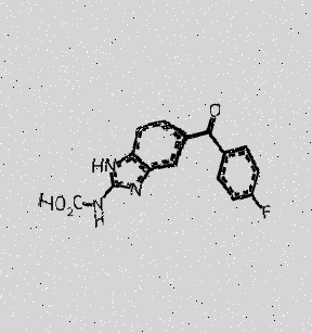 O=C(O)Nc1nc2cc(C(=O)c3ccc(F)cc3)ccc2[nH]1